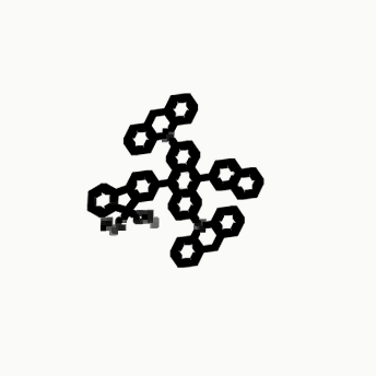 CC1(C)c2ccccc2-c2ccc(-c3c4ccc(N5c6ccccc6Cc6ccccc65)cc4c(-c4ccc5ccccc5c4)c4ccc(N5c6ccccc6Cc6ccccc65)cc34)cc21